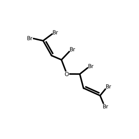 BrC(Br)=CC(Br)OC(Br)C=C(Br)Br